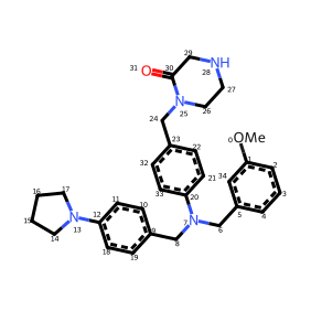 COc1cccc(CN(Cc2ccc(N3CCCC3)cc2)c2ccc(CN3CCNCC3=O)cc2)c1